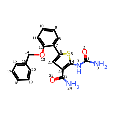 NC(=O)Nc1sc(-c2ccccc2OCc2ccccc2)cc1C(N)=O